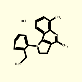 Cc1nc2c(C)cccc2c2c1CCN2c1ccccc1CN.Cl